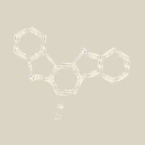 [B].[B].c1ccc2c(c1)N=c1ccc3c(c1-2)N=c1ccccc1=3